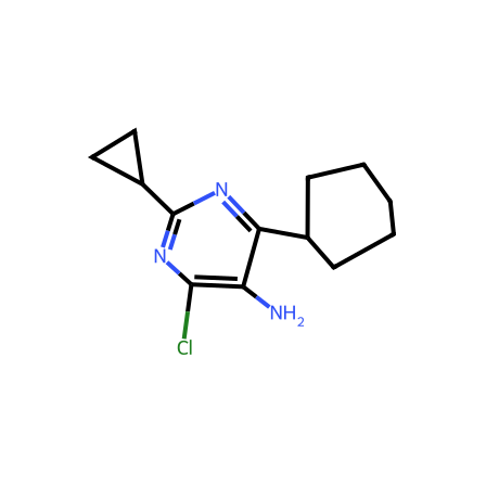 Nc1c(Cl)nc(C2CC2)nc1C1CCCCC1